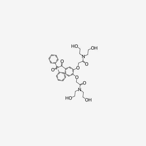 O=C(COc1ccc(C(=O)P(=O)(c2ccccc2)c2ccccc2)cc1OCC(=O)N(CCO)CCO)N(CCO)CCO